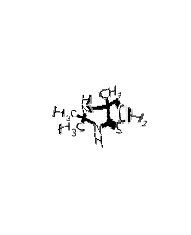 C=CC1(C)NC(C)(C)NC1=S